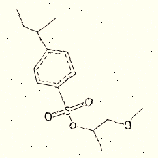 CCC(C)c1ccc(S(=O)(=O)OC(C)COC)cc1